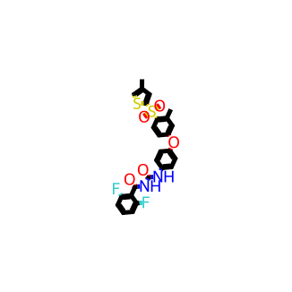 Cc1csc(S(=O)(=O)c2ccc(Oc3ccc(NC(=O)NC(=O)c4c(F)cccc4F)cc3)cc2C)c1